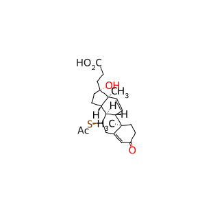 CC(=O)S[C@@H]1CC2=CC(=O)CC[C@]2(C)[C@H]2C=C[C@@]3(C)[C@@H](CC[C@@]3(O)CCC(=O)O)[C@H]12